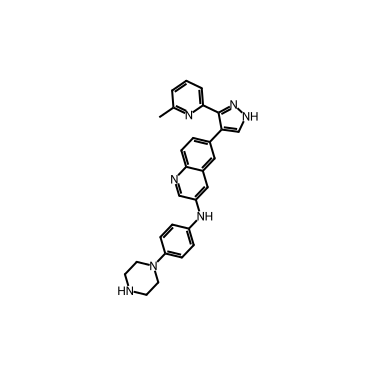 Cc1cccc(-c2n[nH]cc2-c2ccc3ncc(Nc4ccc(N5CCNCC5)cc4)cc3c2)n1